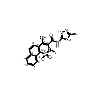 Cc1nnc(NC(=O)C2=C(O)c3ccc4ccccc4c3S(=O)(=O)N2C)s1